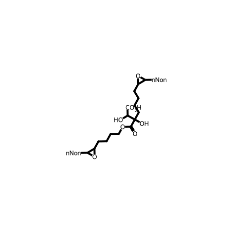 CCCCCCCCCC1OC1CCCCOC(=O)C(O)(CCCCC1OC1CCCCCCCCC)C(O)C(=O)O